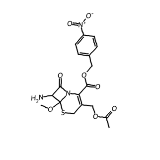 COC12SCC(COC(C)=O)=C(C(=O)OCc3ccc([N+](=O)[O-])cc3)N1C(=O)C2N